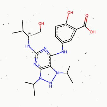 CC(C)[C@H](CO)Nc1nc(Nc2ccc(O)c(C(=O)O)c2)c2c(n1)N(C(C)C)NN2C(C)C